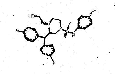 Cc1ccc(NS(=O)(=O)N2CCN(CCO)C(C(c3ccc(F)cc3)c3ccc(F)cc3)C2)cc1